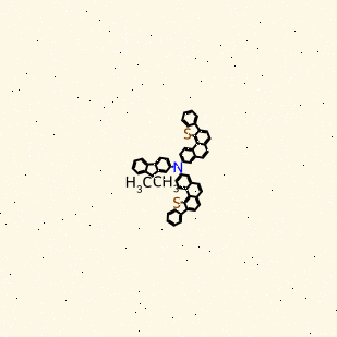 CC1(C)c2ccccc2-c2ccc(N(c3ccc4c(ccc5ccc6c7ccccc7sc6c54)c3)c3ccc4c(ccc5ccc6c7ccccc7sc6c54)c3)cc21